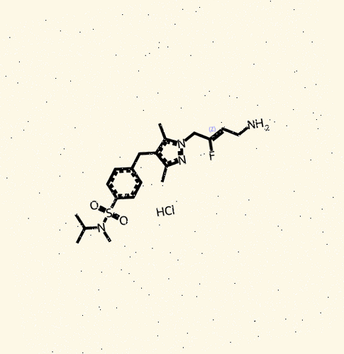 Cc1nn(C/C(F)=C/CN)c(C)c1Cc1ccc(S(=O)(=O)N(C)C(C)C)cc1.Cl